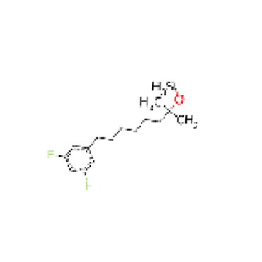 CC(C)(CCCCCCc1cc(F)cc(F)c1)O[SiH3]